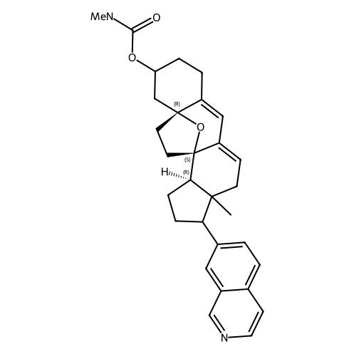 CNC(=O)OC1CCC2=CC3=CCC4(C)C(c5ccc6ccncc6c5)CC[C@H]4[C@@]34CC[C@]2(C1)O4